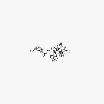 CN(C)CCCNC(=O)c1cccc(-c2ccc(O)c3c2C[C@H]2C[C@H]4[C@@H](N(C)C)C(O)C(C(N)=O)C(=O)[C@@]4(O)C(O)=C2C3=O)c1